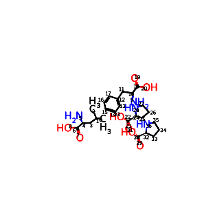 CC(C)C[C@H](N)C(=O)O.N[C@@H](Cc1ccccc1)C(=O)O.O=C(O)[C@@H]1CCCN1.O=C(O)[C@@H]1CCCN1